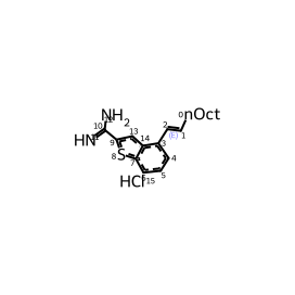 CCCCCCCC/C=C/c1cccc2sc(C(=N)N)cc12.Cl